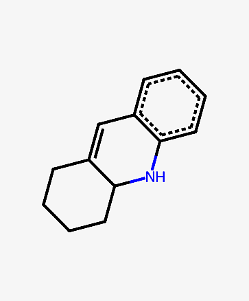 C1=C2CCCCC2Nc2ccccc21